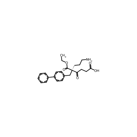 CCOC(=O)[C@](CCCN)(Cc1ccc(-c2ccccc2)cc1)C(=O)CCC(=O)O